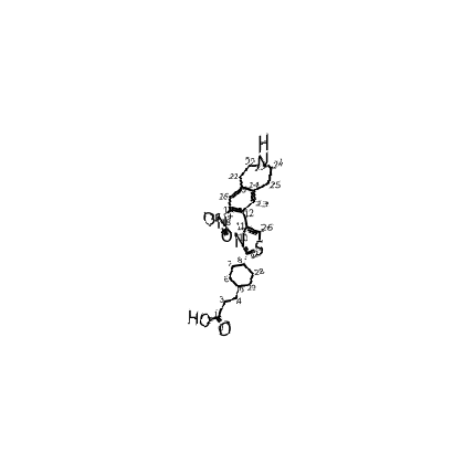 O=C(O)CC[C@H]1CC[C@H](c2nc(-c3cc4c(cc3[N+](=O)[O-])CCNCC4)cs2)CC1